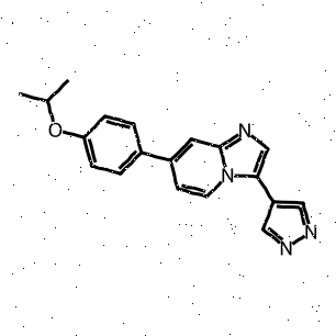 CC(C)Oc1ccc(-c2ccn3c(C4=C=NN=C4)cnc3c2)cc1